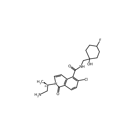 C[C@H](CN)n1ccc2c(C(=O)NCC3(O)CCC(F)CC3)c(Cl)ccc2c1=O